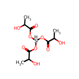 CC(O)C(=O)O[SiH](OC(=O)C(C)O)OC(=O)C(C)O